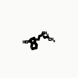 CCCN(C)CCc1ccc(O)c2ncccc12